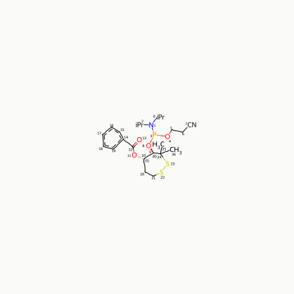 CC(C)N(C(C)C)P(OCCC#N)O[C@@H]1[C@@H](OC(=O)c2ccccc2)CCSSC1(C)C